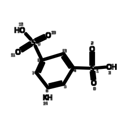 O=S(=O)(O)c1cccc(S(=O)(=O)O)c1.[KH]